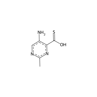 Cc1ncc(N)c(C(O)=S)n1